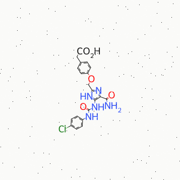 NC(=O)c1nc(COc2ccc(CC(=O)O)cc2)[nH]c1NC(=O)Nc1ccc(Cl)cc1